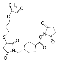 C[C@@H](C=O)OCCCSC1CC(=O)N(C[C@H]2CC[C@H](C(=O)ON3C(=O)CCC3=O)CC2)C1=O